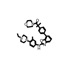 CCN1CCN(c2ccc(Nc3nc4cccc(-c5ccc(C(C)(C)C(=O)N6CCOCC6)cc5)c4o3)cc2C)CC1